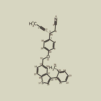 CC#C[C@H](CC#N)c1ccc(OCc2ccc3scc(-c4ccccc4C)c3c2)cc1